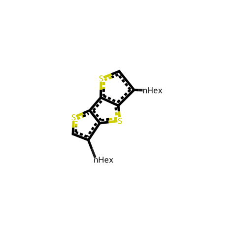 CCCCCCc1csc2c1sc1c(CCCCCC)csc12